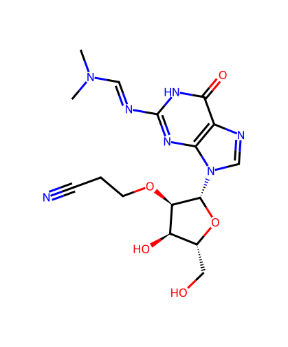 CN(C)C=Nc1nc2c(ncn2[C@@H]2O[C@H](CO)[C@@H](O)[C@H]2OCCC#N)c(=O)[nH]1